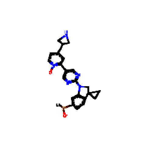 CC[S+]([O-])c1ccc2c(c1)N(c1ncc(-c3cc(C4CNC4)cc[n+]3[O-])cn1)CC21CC1